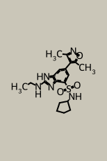 CCNc1nc2c(S(=O)(=O)NC3CCCC3)cc(-c3c(C)noc3C)cc2[nH]1